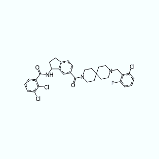 O=C(NC1CCc2ccc(C(=O)N3CCC4(CCN(Cc5c(F)cccc5Cl)CC4)CC3)cc21)c1cccc(Cl)c1Cl